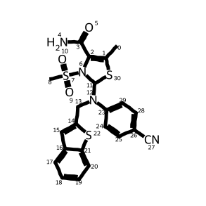 CC1=C(C(N)=O)N(S(C)(=O)=O)C(N(Cc2cc3ccccc3s2)c2ccc(C#N)cc2)S1